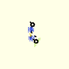 CCn1c(SCc2nnn(-c3cccc(C)c3)n2)nnc1-c1cc(F)cc(F)c1